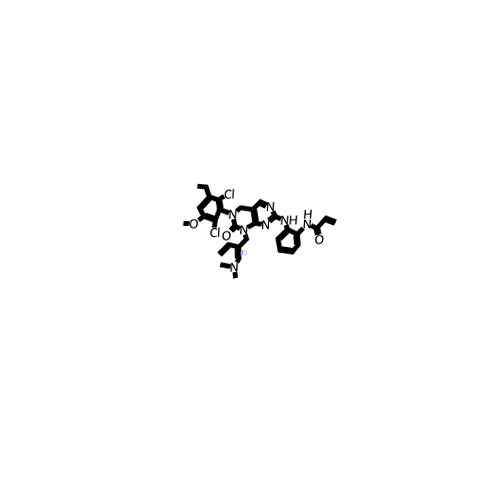 C=CC(=O)Nc1ccccc1Nc1ncc2c(n1)N(C/C(C=C)=C/N(C)C)C(=O)N(c1c(Cl)c(CC)cc(OC)c1Cl)C2